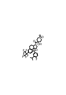 CC(C)c1cc(S(=O)(=O)C23CCN(C(=O)C4(O)CCS(=O)(=O)CC4)C2CCc2cc(C(F)(C(F)(F)F)C(F)(F)F)ccc23)ccc1F